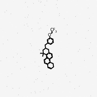 CC1(C)CC(Cc2cccc(OCC(F)(F)F)c2)Cc2ccc3c4c(ccc3c21)C=CCC4